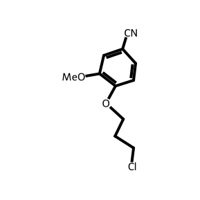 COc1cc(C#N)ccc1OCCCCl